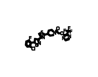 O=C(COc1nccnc1C(F)(F)F)N1CCC(c2nc(C3=NOC(c4c(F)cccc4Cl)C3)cs2)CC1